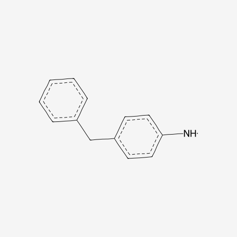 [NH]c1ccc(Cc2ccccc2)cc1